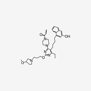 C=CC(=O)N1CCN(c2nc(OCCCN3CCC(OC)C3)nc(CC)c2CCCCc2cc(O)cc3ccccc23)CC1